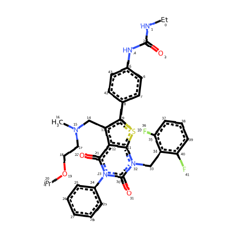 CCNC(=O)Nc1ccc(-c2sc3c(c2CN(C)CCOC(C)C)c(=O)n(-c2ccccc2)c(=O)n3Cc2c(F)cccc2F)cc1